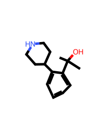 CC(C)(O)c1ccccc1C1CCNCC1